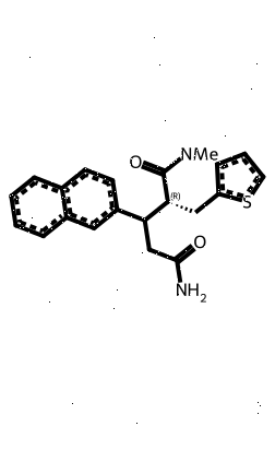 CNC(=O)[C@H](Cc1cccs1)C(CC(N)=O)c1ccc2ccccc2c1